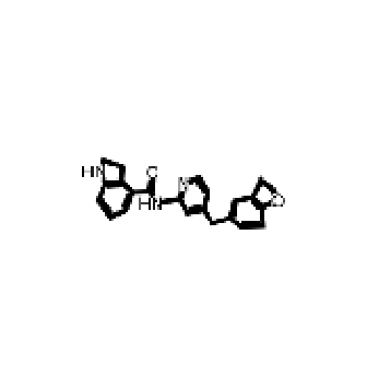 O=C(Nc1cc(Cc2ccc3c(c2)CCO3)ccn1)c1cccc2c1CCN2